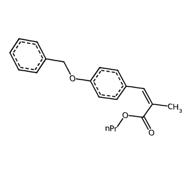 CCCOC(=O)C(C)=Cc1ccc(OCc2ccccc2)cc1